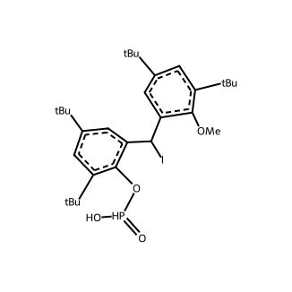 COc1c(C(I)c2cc(C(C)(C)C)cc(C(C)(C)C)c2O[PH](=O)O)cc(C(C)(C)C)cc1C(C)(C)C